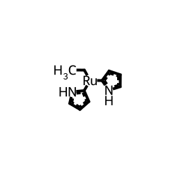 C[CH2][Ru]([c]1ccc[nH]1)[c]1ccc[nH]1